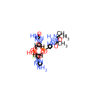 CC(C)[C@H](N)C(=O)N[C@@H](C)C(=O)Nc1ccc(CSP2(=O)OC[C@H]3O[C@@H](n4cnc5c(N)ccnc54)[C@H](F)[C@@H]3OP(=O)(O)OC[C@H]3O[C@@H](n4cnc5c(=O)[nH]cnc54)C[C@@H]3O2)cc1